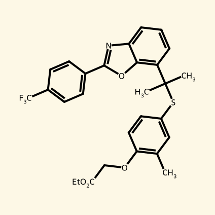 CCOC(=O)COc1ccc(SC(C)(C)c2cccc3nc(-c4ccc(C(F)(F)F)cc4)oc23)cc1C